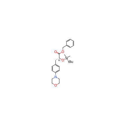 CC(C)(C)[Si](C)(C)O[C@H](Cc1ccc(N2CCOCC2)cc1)C(=O)OCc1ccccc1